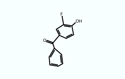 O=C(c1ccccc1)c1ccc(O)c(F)c1